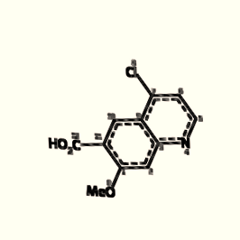 COc1cc2nccc(Cl)c2cc1C(=O)O